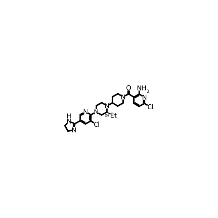 CC[C@H]1CN(c2ncc(C3=NCCN3)cc2Cl)CCN1C1CCN(C(=O)c2ccc(Cl)nc2N)CC1